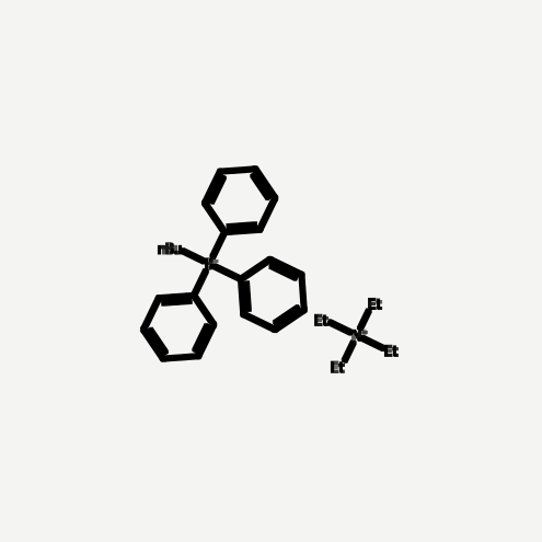 CCCC[B-](c1ccccc1)(c1ccccc1)c1ccccc1.CC[N+](CC)(CC)CC